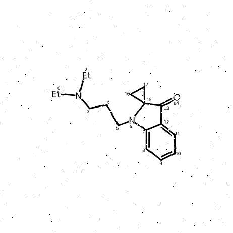 CCN(CC)CCCN1c2ccccc2C(=O)C12CC2